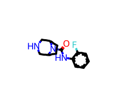 O=C(Nc1ccccc1F)N1C2CCC1CNC2